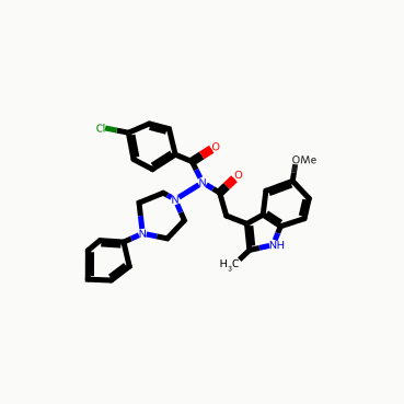 COc1ccc2[nH]c(C)c(CC(=O)N(C(=O)c3ccc(Cl)cc3)N3CCN(c4ccccc4)CC3)c2c1